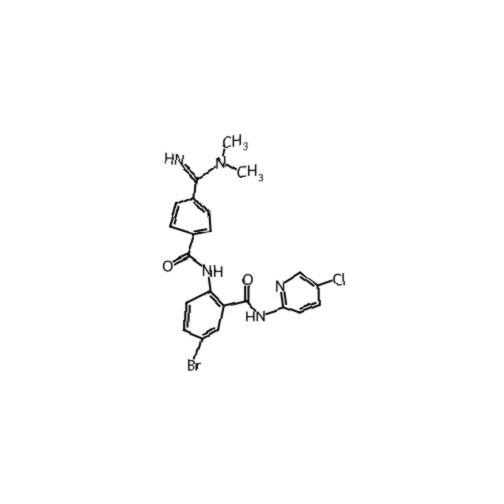 CN(C)C(=N)c1ccc(C(=O)Nc2ccc(Br)cc2C(=O)Nc2ccc(Cl)cn2)cc1